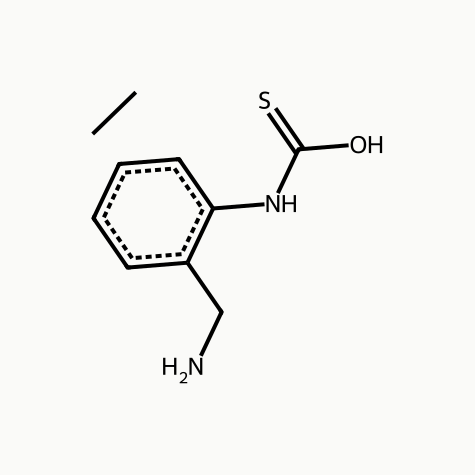 CC.NCc1ccccc1NC(O)=S